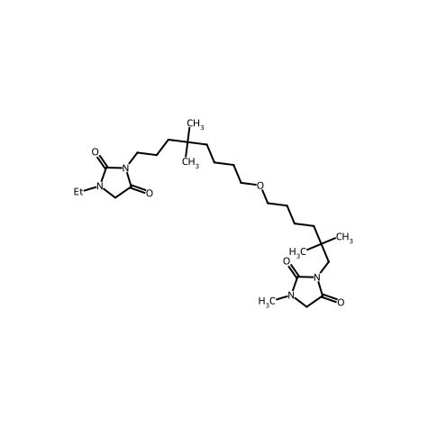 CCN1CC(=O)N(CCCC(C)(C)CCCCOCCCCC(C)(C)CN2C(=O)CN(C)C2=O)C1=O